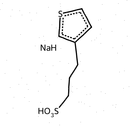 O=S(=O)(O)CCCc1ccsc1.[NaH]